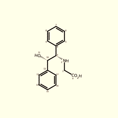 O=C(O)CN[C@@H](c1ccccc1)[C@@H](O)c1ccccc1